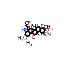 CC1(C)CCC2(NC(=O)CC(F)(F)F)CCC3C(C(=O)C=C4C5(C)C=C(C#N)C(=O)C(C)(C)C5CCC43C)C2C1